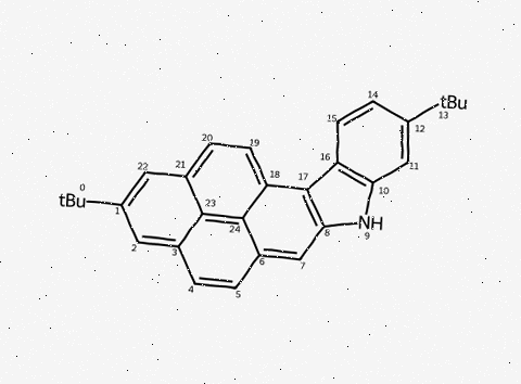 CC(C)(C)c1cc2ccc3cc4[nH]c5cc(C(C)(C)C)ccc5c4c4ccc(c1)c2c34